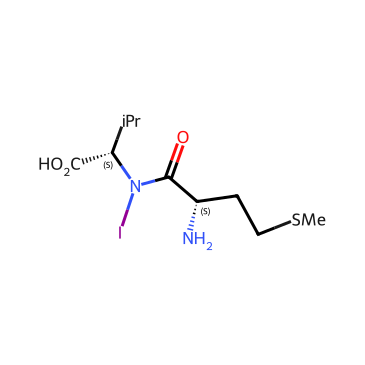 CSCC[C@H](N)C(=O)N(I)[C@H](C(=O)O)C(C)C